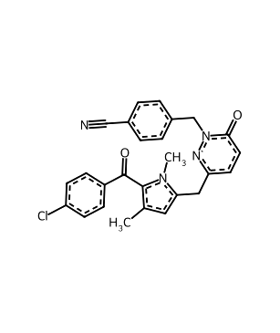 Cc1cc(Cc2ccc(=O)n(Cc3ccc(C#N)cc3)n2)n(C)c1C(=O)c1ccc(Cl)cc1